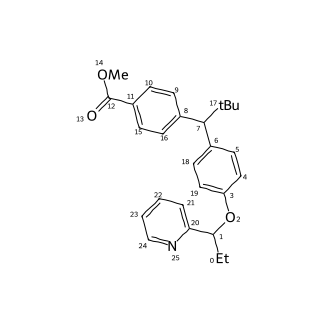 CCC(Oc1ccc(C(c2ccc(C(=O)OC)cc2)C(C)(C)C)cc1)c1ccccn1